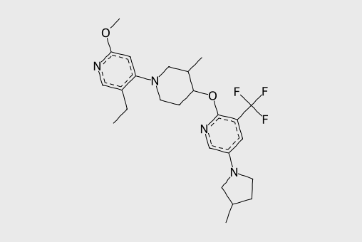 CCc1cnc(OC)cc1N1CCC(Oc2ncc(N3CCC(C)C3)cc2C(F)(F)F)C(C)C1